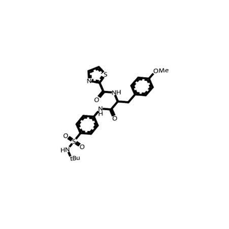 COc1ccc(CC(NC(=O)c2nccs2)C(=O)Nc2ccc(S(=O)(=O)NC(C)(C)C)cc2)cc1